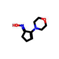 ON=C1CCC=C1N1CCOCC1